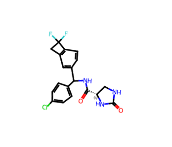 O=C1NC[C@@H](C(=O)NC(c2ccc(Cl)cc2)c2ccc3c(c2)CC3(F)F)N1